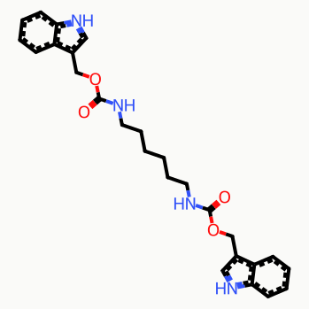 O=C(NCCCCCCNC(=O)OCc1c[nH]c2ccccc12)OCc1c[nH]c2ccccc12